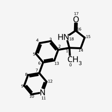 CC1(c2cccc(-c3cccnc3)c2)CCC(=O)N1